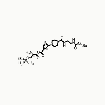 CC(C)(C)OC(=O)NCCNC(=O)C1CCN(c2nc(C(=O)OC(=O)[C@@H](N)CO[Si](C)(C)C(C)(C)C)cs2)CC1